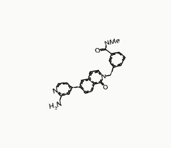 CNC(=O)c1cccc(Cn2ccc3cc(-c4ccnc(N)c4)ccc3c2=O)c1